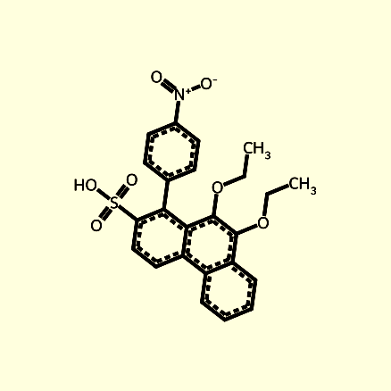 CCOc1c(OCC)c2c(-c3ccc([N+](=O)[O-])cc3)c(S(=O)(=O)O)ccc2c2ccccc12